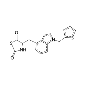 O=C1NC(Cc2cccc3c2ccn3Cc2cccs2)C(=O)S1